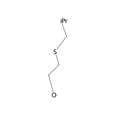 CC(C)CSCC[O]